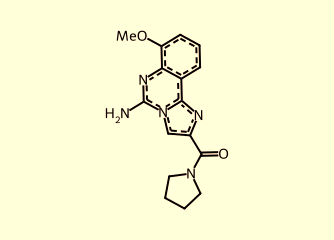 COc1cccc2c1nc(N)n1cc(C(=O)N3CCCC3)nc21